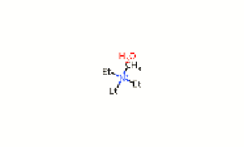 CC[N+](C)(CC)CC.O